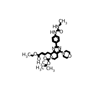 CCNC(=O)Nc1ccc(-c2nc3c(c(N4CCOCC4)n2)CCN(C(=O)OC(C)(C)C)C3C/C=C/C(=O)OCC)cc1